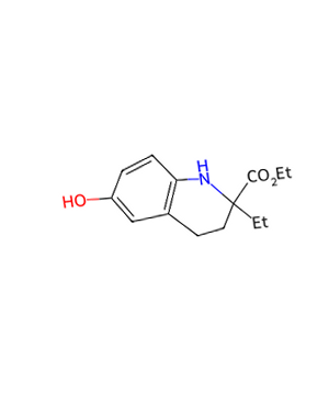 CCOC(=O)C1(CC)CCc2cc(O)ccc2N1